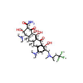 CC(CC(F)(F)F)N(C)Cc1cc(N(C)C)c2c(c1O)C(=O)C1=C(O)[C@]3(O)C(=O)C(C(N)=O)C(O)[C@@H](N(C)C)[C@@H]3C[C@@H]1C2